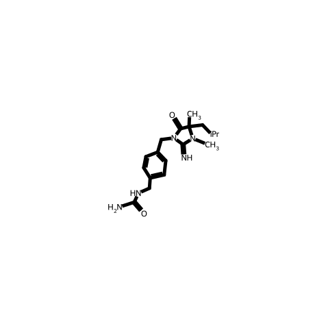 CC(C)CC1(C)C(=O)N(Cc2ccc(CNC(N)=O)cc2)C(=N)N1C